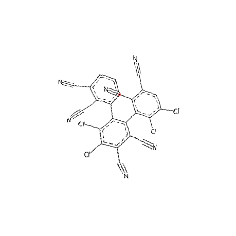 N#Cc1cccc(-c2c(Cl)c(Cl)c(C#N)c(C#N)c2-c2c(Cl)c(Cl)cc(C#N)c2C#N)c1C#N